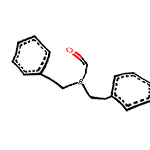 O=CB(Cc1ccccc1)Cc1ccccc1